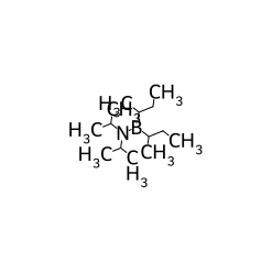 CCC(C)B(C(C)CC)N(C(C)C)C(C)C